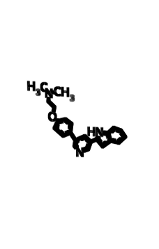 CN(C)CCOc1ccc(-c2cncc(-c3cc4ccccc4[nH]3)c2)cc1